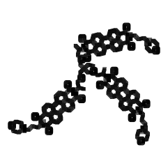 CCC(COCC(C)N1C(=O)c2ccc3c4ccc5c6c(ccc(c7ccc(c2c37)C1=O)c64)C(=O)N(CCCN1CCOCC1)C5=O)(COCC(C)N1C(=O)c2ccc3c4ccc5c6c(ccc(c7ccc(c2c37)C1=O)c64)C(=O)N(CCCN1CCOCC1)C5=O)COCC(C)N1C(=O)c2ccc3c4ccc5c6c(ccc(c7ccc(c2c37)C1=O)c64)C(=O)N(CCCN1CCOCC1)C5=O